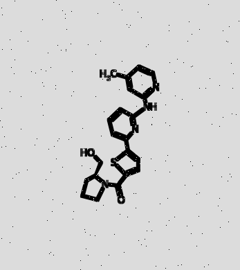 Cc1ccnc(Nc2cccc(-c3ccc(C(=O)N4CCC[C@H]4CO)s3)n2)c1